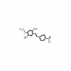 COc1cc(O)c(/C=C/c2ccc([N+](=O)[O-])cc2)cc1Br